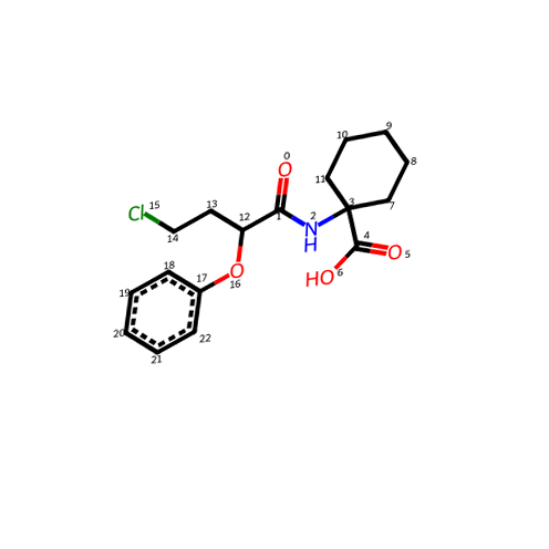 O=C(NC1(C(=O)O)CCCCC1)C(CCCl)Oc1ccccc1